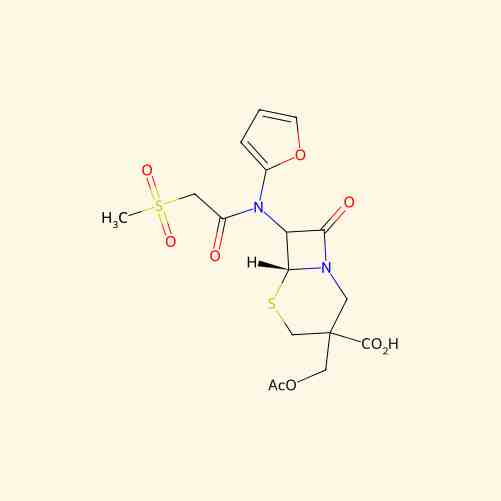 CC(=O)OCC1(C(=O)O)CS[C@@H]2C(N(C(=O)CS(C)(=O)=O)c3ccco3)C(=O)N2C1